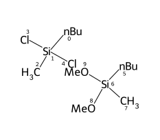 CCCC[Si](C)(Cl)Cl.CCCC[Si](C)(OC)OC